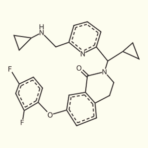 O=C1c2cc(Oc3ccc(F)cc3F)ccc2CCN1C(c1cccc(CNC2CC2)n1)C1CC1